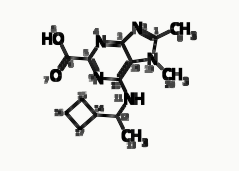 Cc1nc2nc(C(=O)O)nc(NC(C)C3CCC3)c2n1C